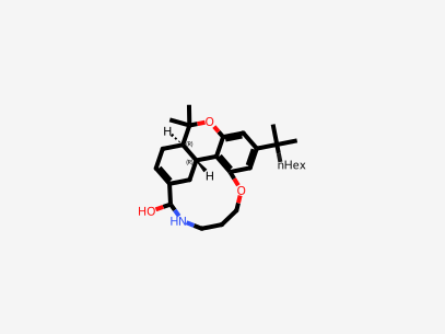 CCCCCCC(C)(C)c1cc2c3c(c1)OC(C)(C)[C@@H]1CC=C(C[C@@H]31)C(O)NCCCO2